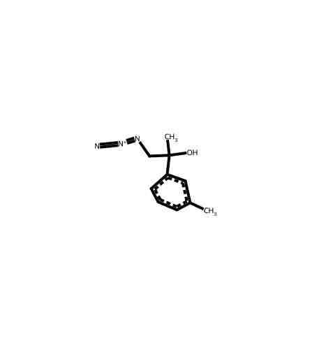 Cc1cccc(C(C)(O)CN=[N+]=[N-])c1